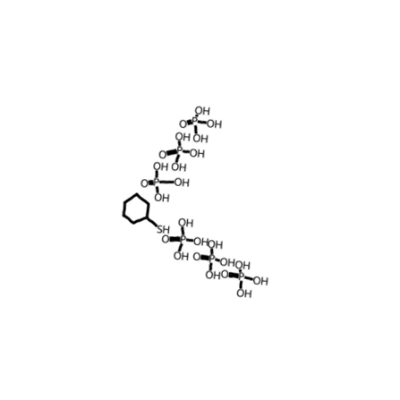 O=P(O)(O)O.O=P(O)(O)O.O=P(O)(O)O.O=P(O)(O)O.O=P(O)(O)O.O=P(O)(O)O.SC1CCCCC1